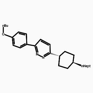 CCCCCCC[C@H]1CC[C@H](c2ccc(-c3ccc(OCCCC)cc3)nn2)CC1